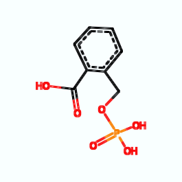 O=C(O)c1ccccc1COP(=O)(O)O